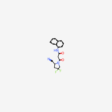 N#CC1CC(F)(F)CN1C(=O)CC(=O)Nc1cccc2ccccc12